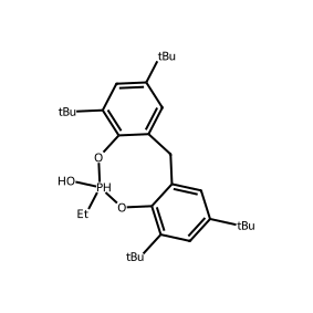 CC[PH]1(O)Oc2c(cc(C(C)(C)C)cc2C(C)(C)C)Cc2cc(C(C)(C)C)cc(C(C)(C)C)c2O1